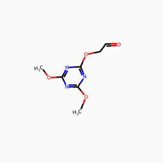 COc1nc(OC)nc(OCC=O)n1